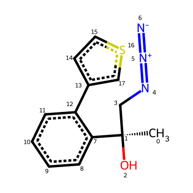 C[C@@](O)(CN=[N+]=[N-])c1ccccc1-c1ccsc1